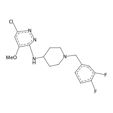 COc1cc(Cl)nnc1NC1CCN(Cc2ccc(F)c(F)c2)CC1